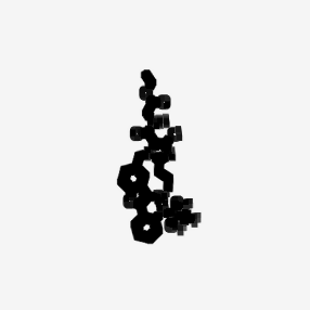 CCCc1nc(Cl)c(C(=O)NCC(=O)OCC)n1Cc1ccc2oc(-c3ccccc3NS(=O)(=O)C(F)(F)F)c(Br)c2c1